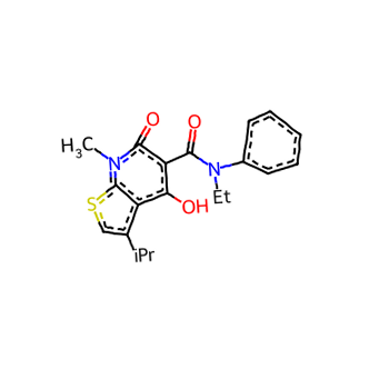 CCN(C(=O)c1c(O)c2c(C(C)C)csc2n(C)c1=O)c1ccccc1